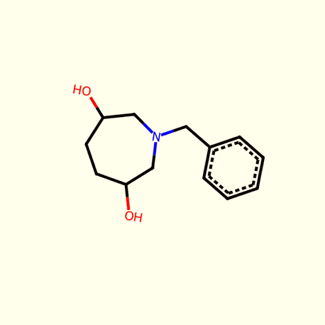 OC1CCC(O)CN(Cc2ccccc2)C1